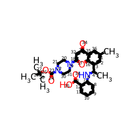 Cc1cc(C(C)Nc2ccccc2C(=O)O)c2oc(N3CCN(C(=O)OC(C)(C)C)CC3)cc(=O)c2c1